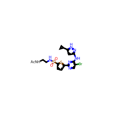 CC(=O)NCCNS(=O)(=O)c1ccc(-c2ncc(Br)c(Nc3cc(C4CC4)[nH]n3)n2)s1